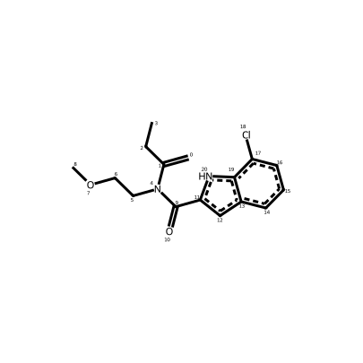 C=C(CC)N(CCOC)C(=O)c1cc2cccc(Cl)c2[nH]1